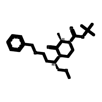 COC[C@H](CCOCc1ccccc1)N1CCN(C(=O)OC(C)(C)C)[C@@H](C)C1=O